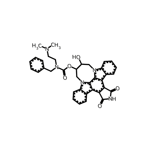 CN(C)CCN(Cc1ccccc1)C(=O)OC1Cn2c3ccccc3c3c4c(c5c6ccccc6n(c5c32)CC1O)C(=O)NC4=O